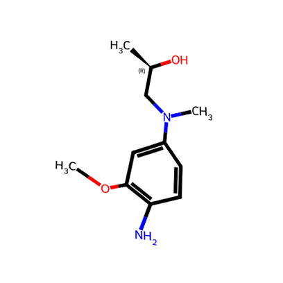 COc1cc(N(C)C[C@@H](C)O)ccc1N